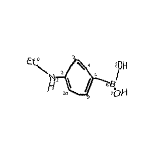 CCNc1ccc(B(O)O)cc1